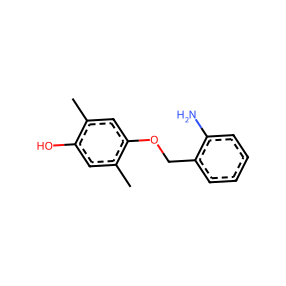 Cc1cc(OCc2ccccc2N)c(C)cc1O